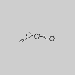 OCC1CCCN(c2ccc(OCc3ccccc3)cc2)C1